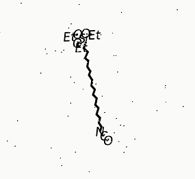 CCO[Si](CCCCCCCCCCCCCCCCCCCN=C=O)(OCC)OCC